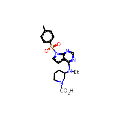 CCN(c1ncnc2c1ccn2S(=O)(=O)c1ccc(C)cc1)C1CCCN(C(=O)O)C1